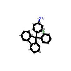 Nc1ccc(C2(c3ccccc3Br)c3ccccc3-c3ccccc32)cc1